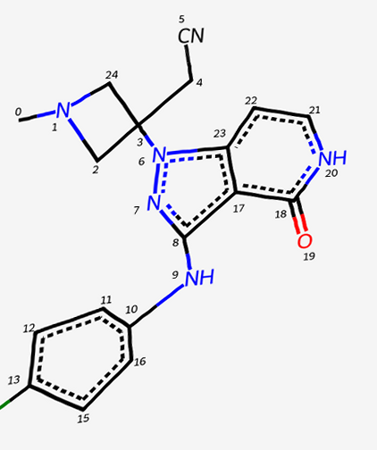 CN1CC(CC#N)(n2nc(Nc3ccc(F)cc3)c3c(=O)[nH]ccc32)C1